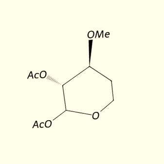 CO[C@H]1CCOC(OC(C)=O)[C@@H]1OC(C)=O